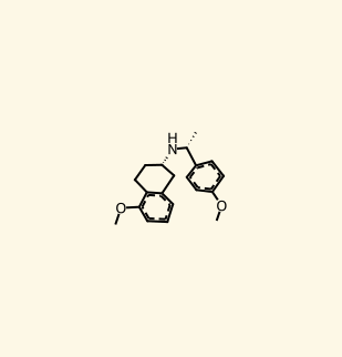 COc1ccc([C@@H](C)N[C@H]2CCc3c(cccc3OC)C2)cc1